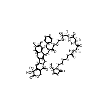 CC[C@@]1(O)C(=O)OCc2c1cc1n(c2=O)Cc2c-1nc1cc(F)c(C)cc1c2CN(Cc1ccccc1)C(=O)COCNC(=O)[C@H](C)NC(=O)[C@H](C)NC(=O)[C@H](C)NC(=O)CCCCCN1C(=O)C=CC1O